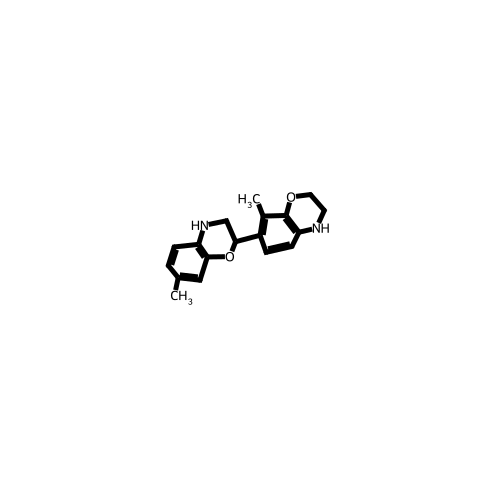 Cc1ccc2c(c1)OC(c1ccc3c(c1C)OCCN3)CN2